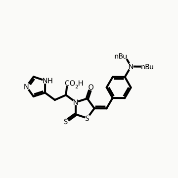 CCCCN(CCCC)c1ccc(C=C2SC(=S)N(C(Cc3cnc[nH]3)C(=O)O)C2=O)cc1